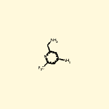 NCc1cc(N)cc(C(F)(F)F)n1